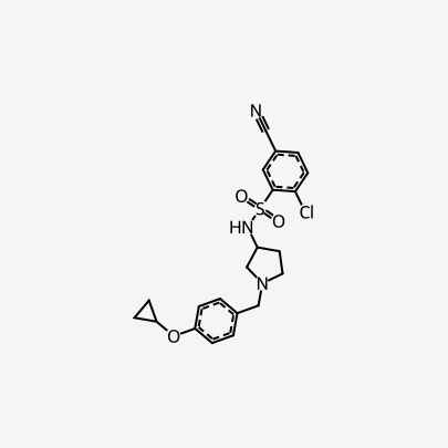 N#Cc1ccc(Cl)c(S(=O)(=O)NC2CCN(Cc3ccc(OC4CC4)cc3)C2)c1